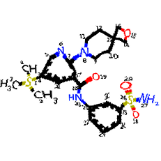 CS(C)(C)c1cnc(N2CCC3(CC2)COC3)c(C(=O)Nc2cccc(S(N)(=O)=O)c2)c1